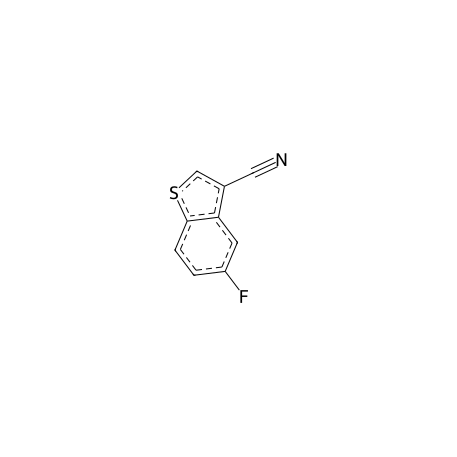 N#Cc1csc2ccc(F)cc12